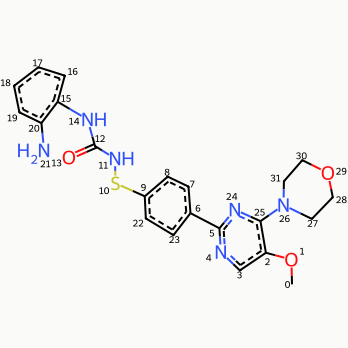 COc1cnc(-c2ccc(SNC(=O)Nc3ccccc3N)cc2)nc1N1CCOCC1